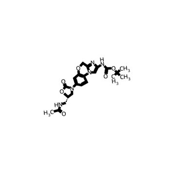 CC(=O)NC[C@H]1CN(c2ccc3c(c2)OCc2nc(NC(=O)OC(C)(C)C)cn2-3)C(=O)O1